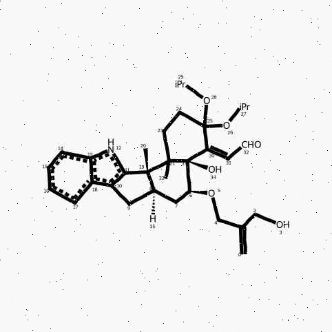 C=C(CO)CO[C@H]1C[C@H]2Cc3c([nH]c4ccccc34)[C@]2(C)C2(C)CCC(OC(C)C)(OC(C)C)/C(=C\C=O)[C@]12O